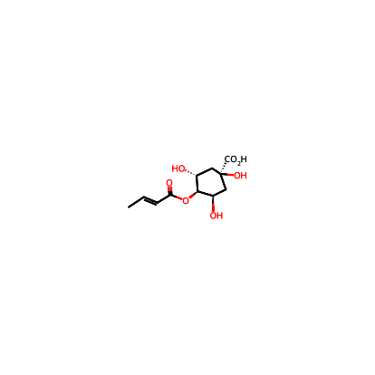 C/C=C/C(=O)O[C@H]1[C@H](O)C[C@](O)(C(=O)O)C[C@H]1O